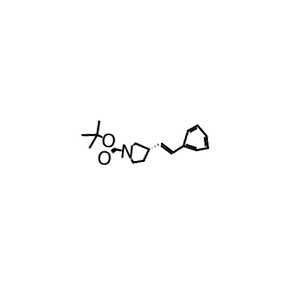 CC(C)(C)OC(=O)N1CC[C@@H](C=Cc2ccccc2)C1